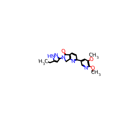 CCc1cc(N2Cc3nc(-c4cnc(OC)c(OC)c4)ccc3C2=O)n[nH]1